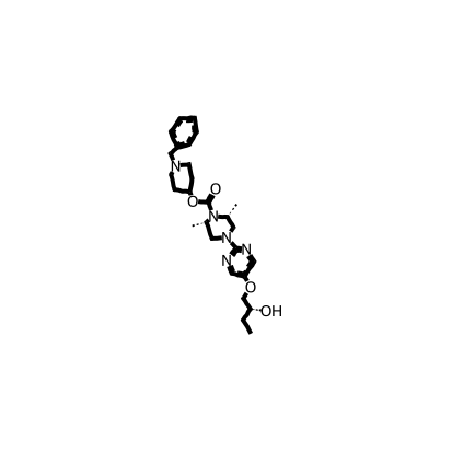 CC[C@@H](O)COc1cnc(N2C[C@@H](C)N(C(=O)OC3CCN(Cc4ccccc4)CC3)[C@@H](C)C2)nc1